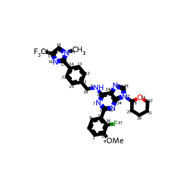 COc1cccc(-c2nc(NCc3ccc(-c4nc(C(F)(F)F)cn4C)cc3)c3ncn(C4CCCCO4)c3n2)c1F